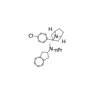 CCCN(C[C@@H]1C[C@H]2CC[C@@H](C1)N2Cc1ccc(Cl)cc1)C1Cc2ccccc2C1